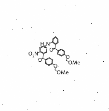 COCOc1ccc(C(=O)c2ccccc2N)cc1.COCOc1ccc(C(=O)c2ccccc2[N+](=O)[O-])cc1